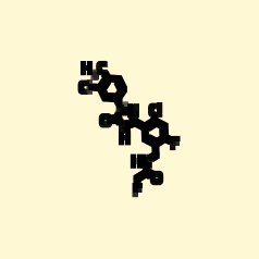 Cc1ccc(-n2nc(-c3cc(CNC(=O)CF)c(F)cc3Cl)[nH]c2=O)cc1Cl